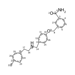 NC(=O)c1cccc(COc2ccc(CNCCc3ccc(F)cc3)cc2)c1